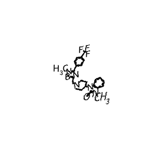 Cn1bc(CN2CCC(n3c(=O)n(C)c4ccccc43)CC2)nc1-c1ccc(C(F)(F)F)cc1